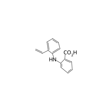 C=Cc1ccccc1Nc1ccccc1C(=O)O